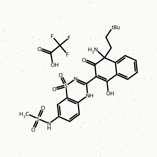 CC(C)(C)CCC1(N)C(=O)C(C2=NS(=O)(=O)c3cc(NS(C)(=O)=O)ccc3N2)=C(O)c2ccccc21.O=C(O)C(F)(F)F